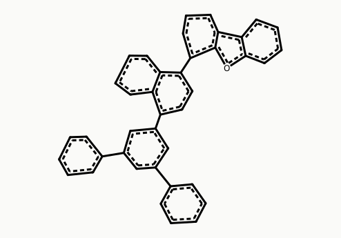 c1ccc(-c2cc(-c3ccccc3)cc(-c3ccc(-c4cccc5c4oc4ccccc45)c4ccccc34)c2)cc1